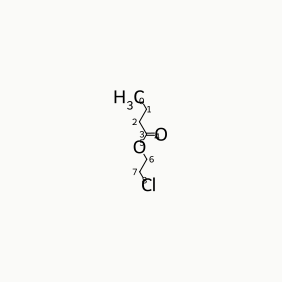 CCCC(=O)OCCCl